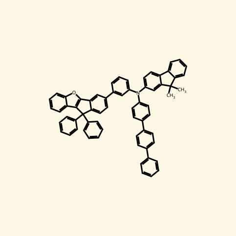 CC1(C)c2ccccc2-c2ccc(N(c3ccc(-c4ccc(-c5ccccc5)cc4)cc3)c3cccc(-c4ccc5c(c4)-c4oc6ccccc6c4C5(c4ccccc4)c4ccccc4)c3)cc21